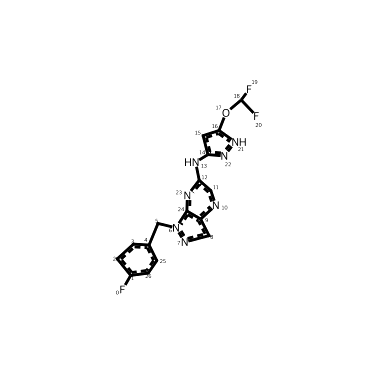 Fc1ccc(Cn2ncc3ncc(Nc4cc(OC(F)F)[nH]n4)nc32)cc1